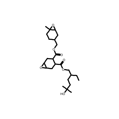 CCC(CCC(C)(C)O)COC(=O)C1CC2OC2CC1C(=O)OCC1CCC2(C)OC2C1